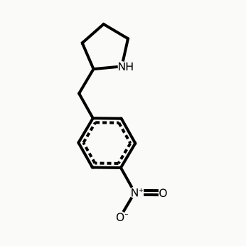 O=[N+]([O-])c1ccc(CC2CCCN2)cc1